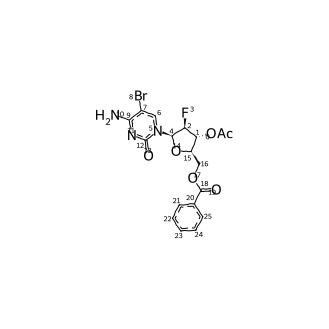 CC(=O)O[C@H]1[C@H](F)[C@H](n2cc(Br)c(N)nc2=O)O[C@@H]1COC(=O)c1ccccc1